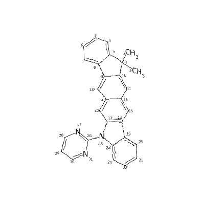 CC1(C)c2ccccc2-c2cc3cc4c(cc3cc21)c1ccccc1n4-c1ncccn1